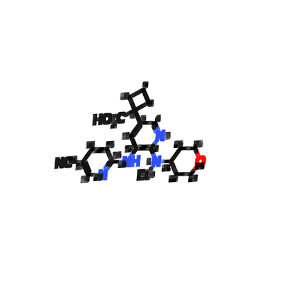 CCN(c1ncc(C2(C(=O)O)CCC2)cc1Nc1ccc(C#N)cn1)C1CCOCC1